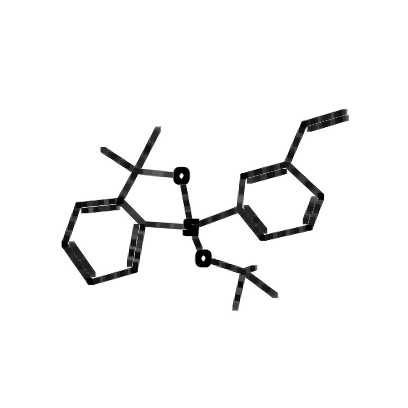 C=Cc1cccc([Si](OC(C)(C)C)(OC(C)(C)C)c2ccccc2)c1